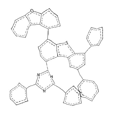 c1ccc(-c2cc(-c3ccccc3)c3sc4c(-c5cccc6oc7ccccc7c56)ccc(-c5nc(-c6ccccc6)nc(-c6ccccc6)n5)c4c3c2)cc1